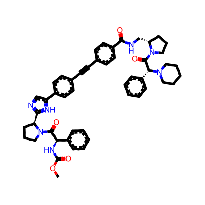 COC(=O)N[C@@H](C(=O)N1CCC[C@H]1c1ncc(-c2ccc(C#Cc3ccc(C(=O)NC[C@@H]4CCCN4C(=O)[C@@H](c4ccccc4)N4CCCCC4)cc3)cc2)[nH]1)c1ccccc1